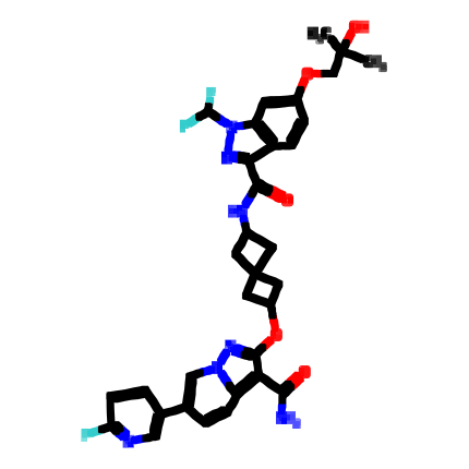 CC(C)(O)COc1ccc2c(C(=O)NC3CC4(C3)CC(Oc3nn5cc(-c6ccc(F)nc6)ccc5c3C(N)=O)C4)nn(C(F)F)c2c1